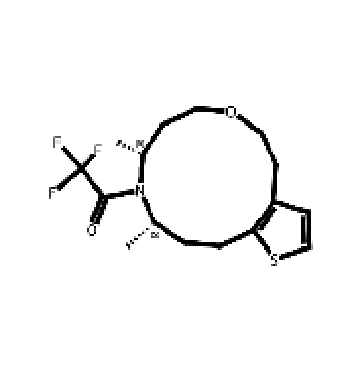 C[C@@H]1CCOCCc2ccsc2CC[C@H](C)N1C(=O)C(F)(F)F